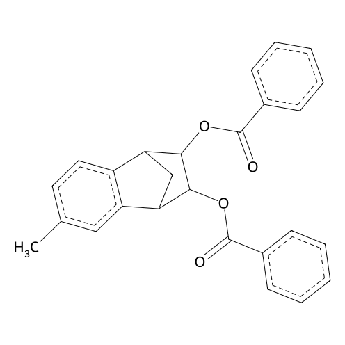 Cc1ccc2c(c1)C1CC2C(OC(=O)c2ccccc2)C1OC(=O)c1ccccc1